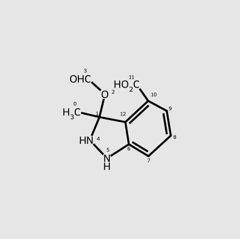 CC1(OC=O)NNc2cccc(C(=O)O)c21